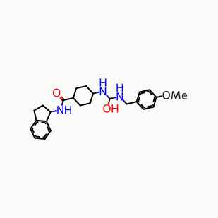 COc1ccc(CNC(O)NC2CCC(C(=O)N[C@@H]3CCc4ccccc43)CC2)cc1